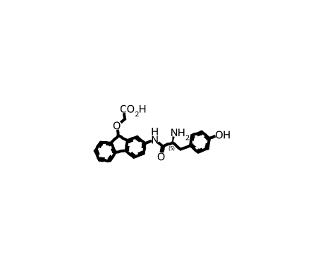 N[C@@H](Cc1ccc(O)cc1)C(=O)Nc1ccc2c(c1)C(OCC(=O)O)c1ccccc1-2